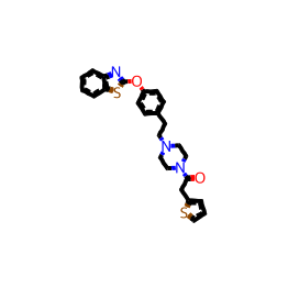 O=C(Cc1cccs1)N1CCN(CCc2ccc(Oc3nc4ccccc4s3)cc2)CC1